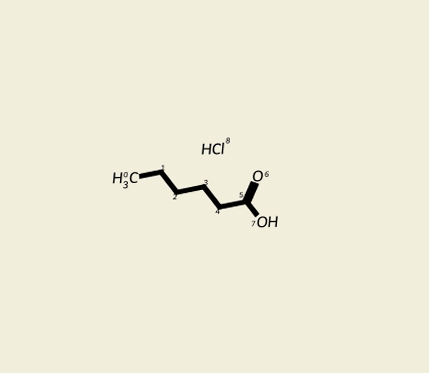 CCCCCC(=O)O.Cl